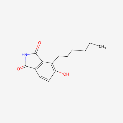 CCCCCCc1c(O)ccc2c1C(=O)NC2=O